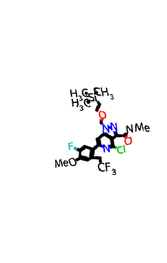 CNC(=O)c1nn(COCC[Si](C)(C)C)c2cc(-c3cc(F)c(OC)cc3CC(F)(F)F)nc(Cl)c12